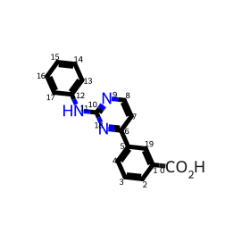 O=C(O)c1cccc(-c2ccnc(Nc3ccccc3)n2)c1